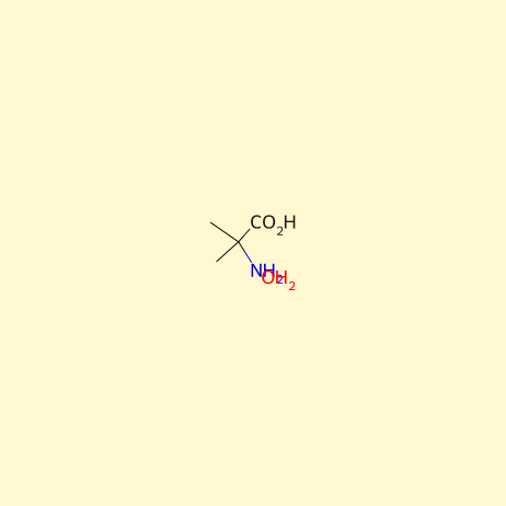 CC(C)(N)C(=O)O.O